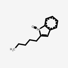 CCCCCC1=Cc2ccccc2[Se]1=O